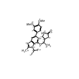 COc1ccc(-c2cc3nc(C)n(C(F)F)c3c(O[C@H](C)C3CNC(=O)C3)n2)cc1OC